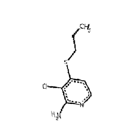 CCCSc1ccnc(N)c1Cl